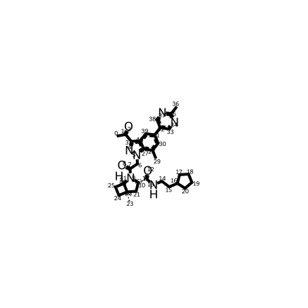 CC(=O)c1nn(CC(=O)N2[C@H](C(=O)NCCC3CCCC3)C[C@@]3(C)CC[C@@H]23)c2c(C)cc(-c3cnc(C)nc3)cc12